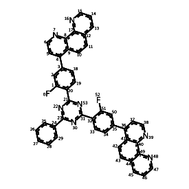 Fc1cc(-c2ccnc3c2ccc2cccnc23)ccc1-c1nc(-c2ccccc2)nc(-c2ccc(-c3ccnc4c3ccc3cccnc34)cc2F)n1